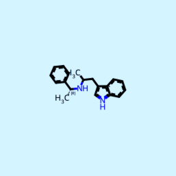 CC(Cc1c[nH]c2ccccc12)N[C@H](C)c1ccccc1